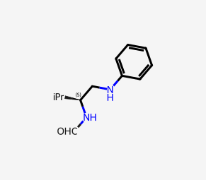 CC(C)[C@@H](CNc1ccccc1)NC=O